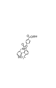 COC(=O)c1ccc(OC(=O)NCc2ccccc2-c2ccccc2C(=O)O)cc1